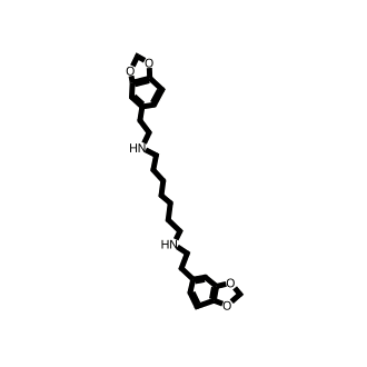 c1cc2c(cc1CCNCCCCCCCNCCc1ccc3c(c1)OCO3)OCO2